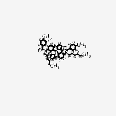 CCCCCCN(C(=O)c1ccc(C)cc1)c1ccc(F)[c]([Ti]([c]2c(F)ccc(N(CCCCCC)C(=O)c3ccc(C)cc3)c2F)([CH]2C=CC=C2)[CH]2C=CC=C2)c1F